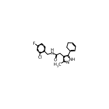 Cc1n[nH]c(C2=CC=CCC2)c1CC(=O)NCc1ccc(F)cc1Cl